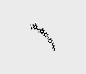 CCCCCC[C@H]1CC[C@H](CC[C@H]2CC[C@H](c3cc(F)c(CCc4cc(F)c(Cl)c(F)c4)c(F)c3)CC2)CC1